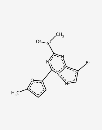 Cc1ccc(-c2nc([S+](C)[O-])nc3c(Br)cnn23)o1